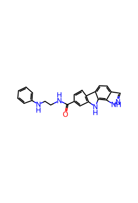 O=C(NCCNc1ccccc1)c1ccc2c(c1)[nH]c1c2ccc2cn[nH]c21